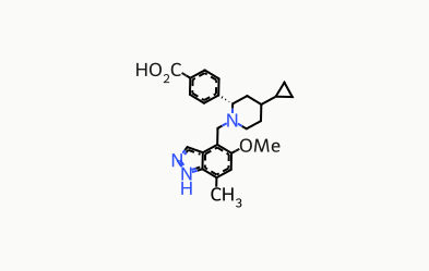 COc1cc(C)c2[nH]ncc2c1CN1CCC(C2CC2)C[C@H]1c1ccc(C(=O)O)cc1